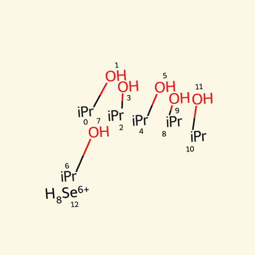 CC(C)O.CC(C)O.CC(C)O.CC(C)O.CC(C)O.CC(C)O.[SeH8+6]